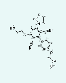 N#Cc1c(SCCO)nc(N2CCCC2)c(C#N)c1-c1ccc(OCCO)cc1